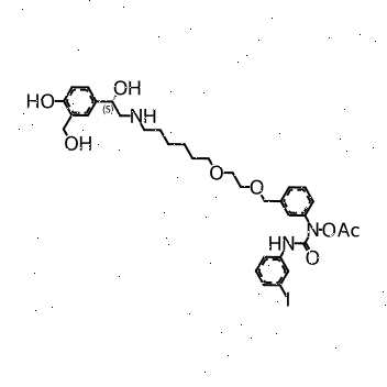 CC(=O)ON(C(=O)Nc1cccc(I)c1)c1cccc(COCCOCCCCCCNC[C@@H](O)c2ccc(O)c(CO)c2)c1